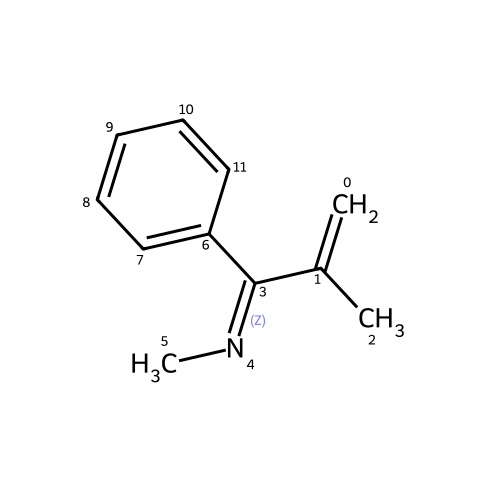 C=C(C)/C(=N/C)c1ccccc1